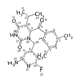 Cc1cc(C)cc(C(=O)c2c(C(C)C)c(=O)[nH]c(=O)n2Cc2cc(N)nc(F)c2)c1